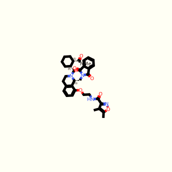 CNC(=O)[C@H]1CCCC[C@H]1C(=O)N1CCc2cccc(OCCNC(=O)c3noc(C)c3C)c2[C@H]1CN1C(=O)c2ccccc2C1=O